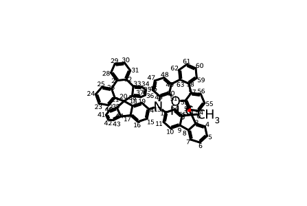 CC1(C)c2ccccc2-c2ccc(N(c3ccc4c(c3)C3(c5ccccc5-c5ccccc5-c5ccccc53)c3ccccc3-4)c3cccc4c3Oc3ccccc3-c3ccccc3-4)cc21